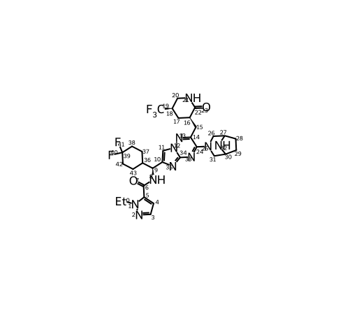 CCn1nccc1C(=O)N[C@H](c1cn2nc(C[C@H]3C[C@@H](C(F)(F)F)CNC3=O)c(N3CC4CCC(C3)N4)nc2n1)C1CCC(F)(F)CC1